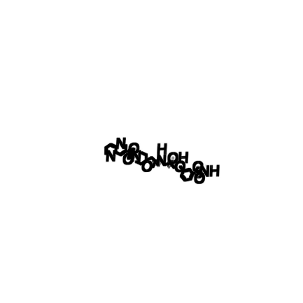 CNS(=O)(=O)c1cccc(OC[C@@H](O)CN[C@H]2COC3(CCN(S(=O)(=O)c4cnc5cccnc5c4)CC3)C2)c1